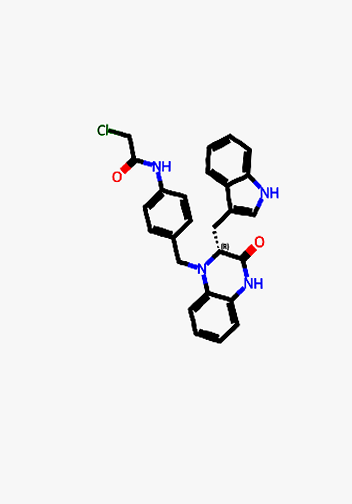 O=C(CCl)Nc1ccc(CN2c3ccccc3NC(=O)[C@H]2Cc2c[nH]c3ccccc23)cc1